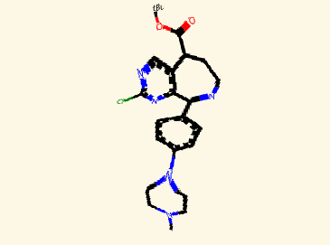 CN1CCN(c2ccc(C3=NCCC(C(=O)OC(C)(C)C)c4cnc(Cl)nc43)cc2)CC1